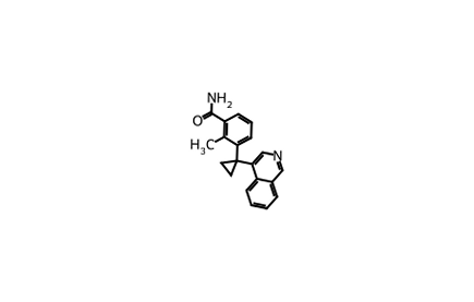 Cc1c(C(N)=O)cccc1C1(c2cncc3ccccc23)CC1